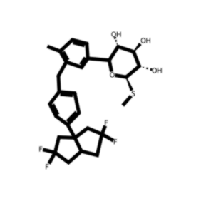 CS[C@H]1OC(c2ccc(C)c(Cc3ccc(C45CC(F)(F)CC4CC(F)(F)C5)cc3)c2)[C@H](O)[C@@H](O)[C@@H]1O